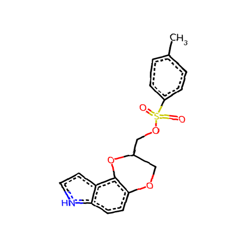 Cc1ccc(S(=O)(=O)OCC2COc3ccc4[nH]ccc4c3O2)cc1